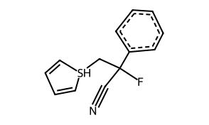 N#CC(F)(C[SH]1C=CC=C1)c1ccccc1